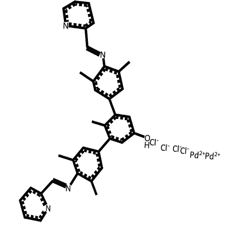 Cc1cc(-c2cc(O)cc(-c3cc(C)c(N=Cc4ccccn4)c(C)c3)c2C)cc(C)c1N=Cc1ccccn1.[Cl-].[Cl-].[Cl-].[Cl-].[Pd+2].[Pd+2]